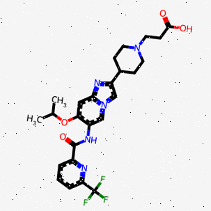 CC(C)Oc1cc2nc(C3CCN(CCC(=O)O)CC3)cn2cc1NC(=O)c1cccc(C(F)(F)F)n1